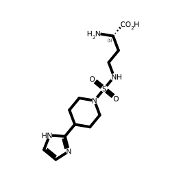 N[C@@H](CCNS(=O)(=O)N1CCC(c2ncc[nH]2)CC1)C(=O)O